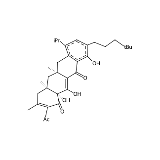 CC(=O)C1=C(C)C[C@@]2(C)C[C@@]3(C)Cc4c(C(C)C)cc(CCCC(C)(C)C)c(O)c4C(=O)C3=C(O)[C@@]2(O)C1=O